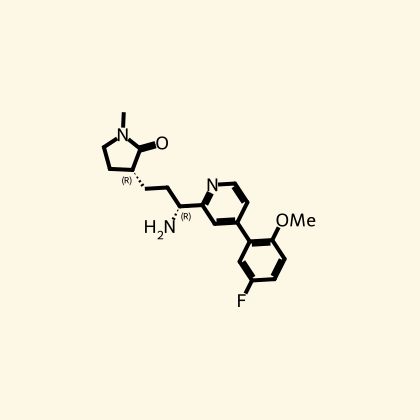 COc1ccc(F)cc1-c1ccnc([C@H](N)CC[C@@H]2CCN(C)C2=O)c1